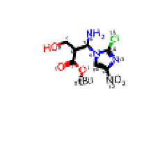 CC(C)(C)OC(=O)C(CO)C(N)n1cc([N+](=O)[O-])nc1Cl